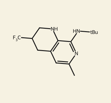 Cc1cc2c(c(NC(C)(C)C)n1)NCC(C(F)(F)F)C2